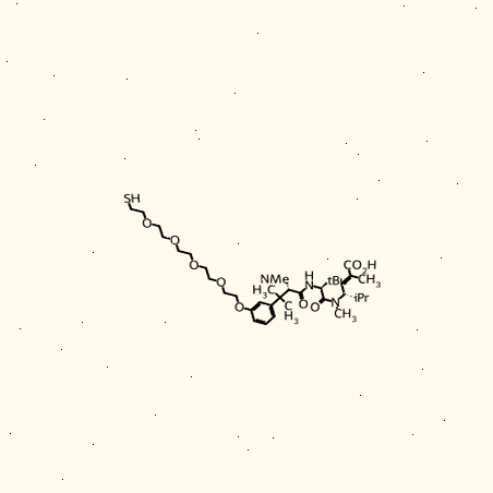 CN[C@H](C(=O)N[C@H](C(=O)N(C)[C@H](/C=C(\C)C(=O)O)C(C)C)C(C)(C)C)C(C)(C)c1cccc(OCCOCCOCCOCCOCCS)c1